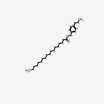 CCCCCCCCCCCCCCCCCC(=O)OCc1ccc(CCC)cc1